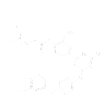 COc1cc(-c2cc(Nc3ccc(Oc4ccnc(C(F)(F)F)c4)cc3)nc(N)n2)ccc1OC(=O)CNC(=O)OC(C)(C)C